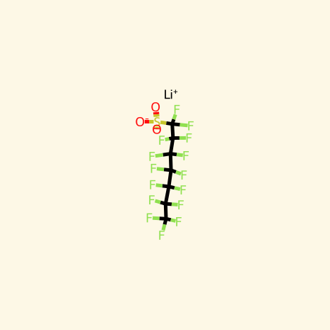 O=S(=O)([O-])C(F)(F)C(F)(F)C(F)(F)C(F)(F)C(F)(F)C(F)(F)C(F)(F)F.[Li+]